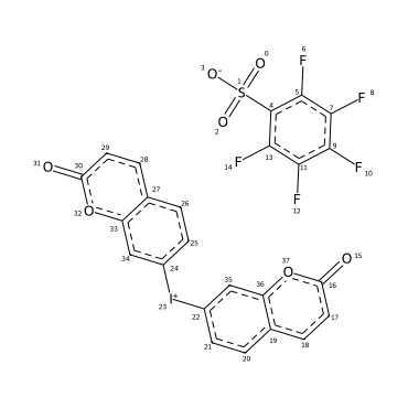 O=S(=O)([O-])c1c(F)c(F)c(F)c(F)c1F.O=c1ccc2ccc([I+]c3ccc4ccc(=O)oc4c3)cc2o1